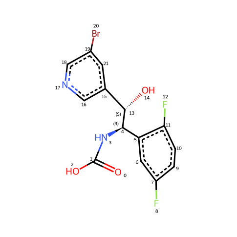 O=C(O)N[C@H](c1cc(F)ccc1F)[C@@H](O)c1cncc(Br)c1